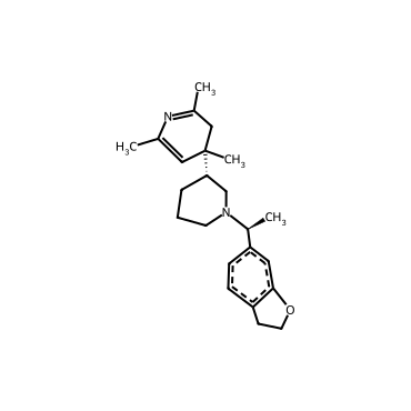 CC1=CC(C)([C@H]2CCCN([C@@H](C)c3ccc4c(c3)OCC4)C2)CC(C)=N1